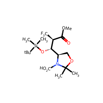 COC(=O)[C@@H]([C@@H](O[Si](C)(C)C(C)(C)C)[C@H]1COC(C)(C)N1C(=O)O)C(F)(F)F